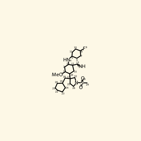 COC1CC(NC2CCC(F)CC2)C(C=N)CC1C1(CC2CCCCC2)CCN(S(C)(=O)=O)C1